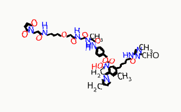 C=C1CCN(C(=C)c2cc(C)c(CCCCC(=O)Nc3cn(C)c(C=O)n3)cc2N(CO)C(=O)OCc2ccc(NC(=O)C(C)NC(=O)CNC(=O)CCOCCCCCNC(=O)CCN3C(=O)C=CC3=O)cc2)C1